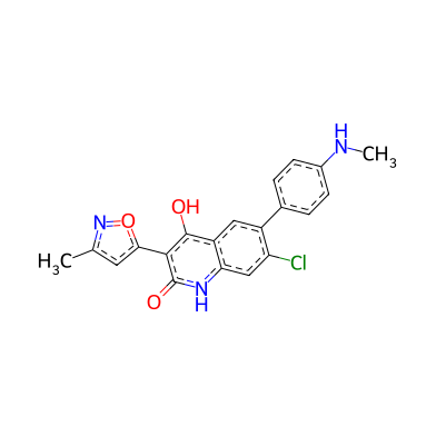 CNc1ccc(-c2cc3c(O)c(-c4cc(C)no4)c(=O)[nH]c3cc2Cl)cc1